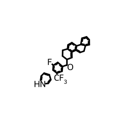 C1=CC=CNC=C1.O=C(c1cc(F)cc(C(F)(F)F)c1)C1C=c2c(ccc3c2=CCc2ccccc2-3)CC1